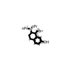 Br.CCCN(CCC)C1CCc2ccc(O)cc2C1C